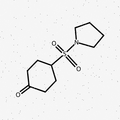 O=C1CCC(S(=O)(=O)N2CCCC2)CC1